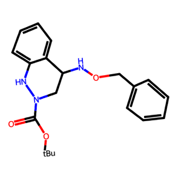 CC(C)(C)OC(=O)N1CC(NOCc2ccccc2)c2ccccc2N1